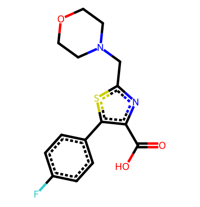 O=C(O)c1nc(CN2CCOCC2)sc1-c1ccc(F)cc1